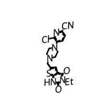 CCn1c(=O)[nH]c2sc(CN3CCN(c4ccc(C#N)nc4Cl)CC3)cc2c1=O